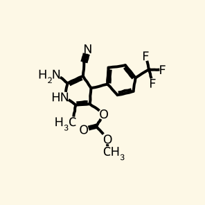 COC(=O)OC1=C(C)NC(N)=C(C#N)C1c1ccc(C(F)(F)F)cc1